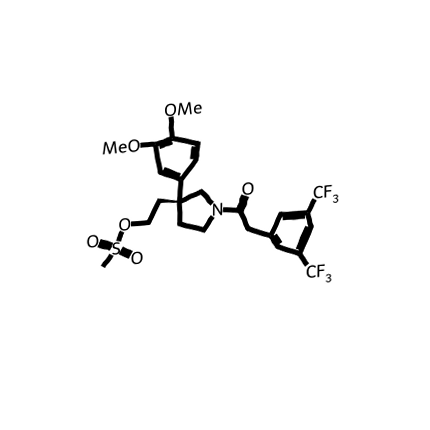 COc1ccc([C@@]2(CCOS(C)(=O)=O)CCN(C(=O)Cc3cc(C(F)(F)F)cc(C(F)(F)F)c3)C2)cc1OC